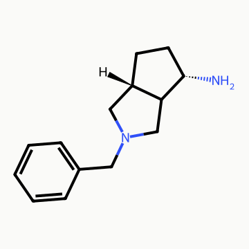 N[C@H]1CC[C@H]2CN(Cc3ccccc3)CC21